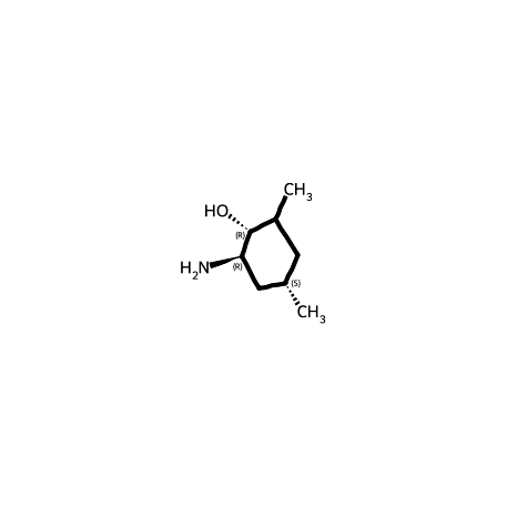 CC1C[C@H](C)C[C@@H](N)[C@@H]1O